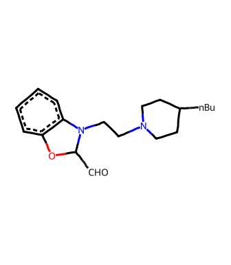 CCCCC1CCN(CCN2c3ccccc3OC2C=O)CC1